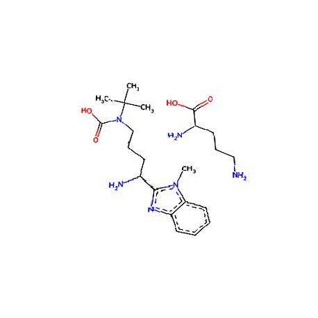 Cn1c(C(N)CCCN(C(=O)O)C(C)(C)C)nc2ccccc21.NCCCC(N)C(=O)O